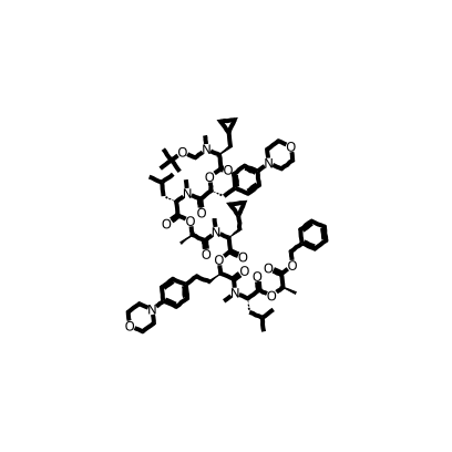 CC(C)C[C@@H](C(=O)O[C@H](C)C(=O)N(C)[C@@H](CC1CC1)C(=O)O[C@H](CCc1ccc(N2CCOCC2)cc1)C(=O)N(C)[C@@H](CC(C)C)C(=O)O[C@H](C)C(=O)OCc1ccccc1)N(C)C(=O)[C@@H](Cc1ccc(N2CCOCC2)cc1)OC(=O)[C@H](CC1CC1)N(C)COC(C)(C)C